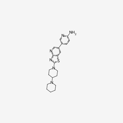 Nc1ccc(-c2cnc3nc(N4CCC(N5CCCCC5)CC4)sc3c2)cn1